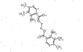 Cc1ccc(C(=O)OCCOC(=O)c2ccc(C)c(C)c2N)c(N)c1C